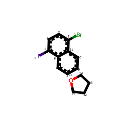 Brc1ccc(I)c2ccccc12.C1CCOC1